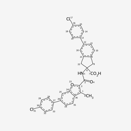 Cc1c(C(=O)NC2(C(=O)O)Cc3ccc(-c4ccc(Cl)cc4)cc3C2)oc2cc(-c3ccc(Cl)cc3)ccc12